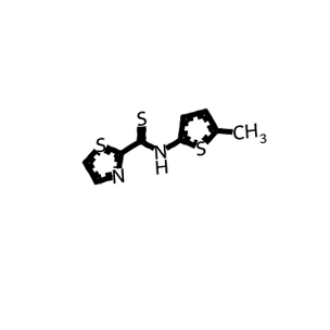 Cc1ccc(NC(=S)c2nccs2)s1